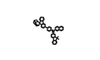 CC1(C)c2ccccc2-c2ccc(N(c3ccc(-c4ccc5c(c4)-c4ccccc4C54C5CC6CC(C5)CC4C6)cc3)c3ccc4ccccc4c3)cc21